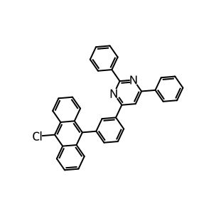 Clc1c2ccccc2c(-c2cccc(-c3cc(-c4ccccc4)nc(-c4ccccc4)n3)c2)c2ccccc12